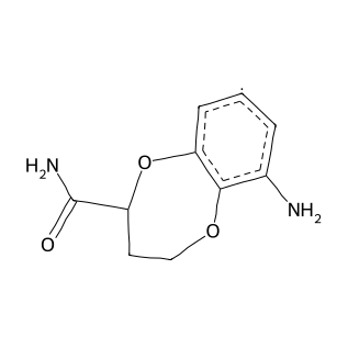 NC(=O)C1CCOc2c(N)c[c]cc2O1